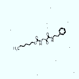 CCCCCCOC(=O)NCC(=O)C(=O)NCCc1ccccc1